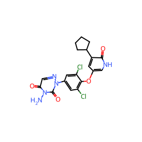 Nn1c(=O)cnn(-c2cc(Cl)c(Oc3c[nH]c(=O)c(C4CCCC4)c3)c(Cl)c2)c1=O